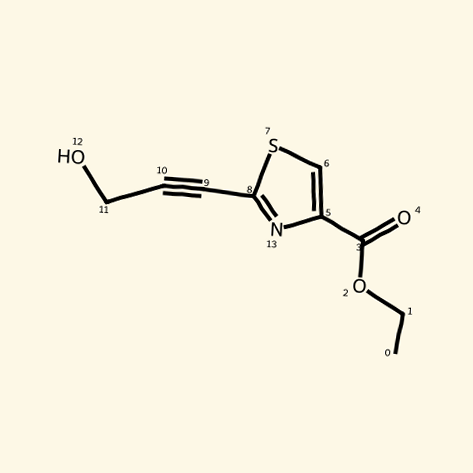 CCOC(=O)c1csc(C#CCO)n1